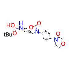 CC(C)(C)OC(O)NC[C@H]1CN(c2ccc(N3CCOCC3=O)cc2)C(=O)O1